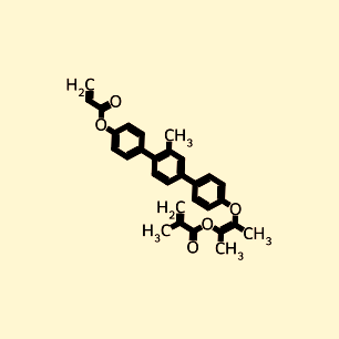 C=CC(=O)Oc1ccc(-c2ccc(-c3ccc(OC(C)=C(C)OC(=O)C(=C)C)cc3)cc2C)cc1